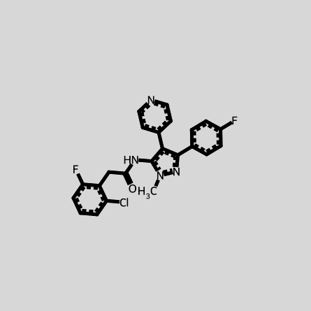 Cn1nc(-c2ccc(F)cc2)c(-c2ccncc2)c1NC(=O)Cc1c(F)cccc1Cl